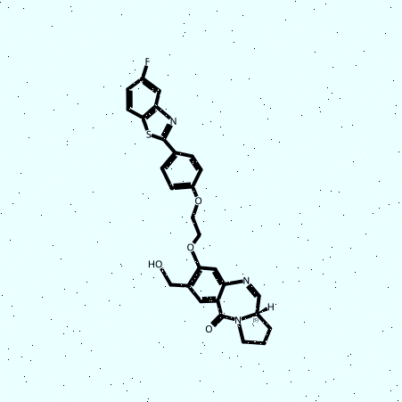 O=C1c2cc(CO)c(OCCOc3ccc(-c4nc5cc(F)ccc5s4)cc3)cc2N=C[C@@H]2CCCN12